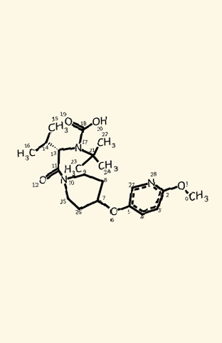 COc1ccc(OC2CCN(C(=O)[C@H](C(C)C)N(C(=O)O)C(C)(C)C)CC2)cn1